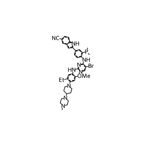 CCc1cc(Nc2ncc(Br)c(Nc3ccc(-c4cc5cc(C#N)ccc5[nH]4)cc3P(C)C)n2)c(OC)cc1N1CCC(N2CCN(C)CC2)CC1